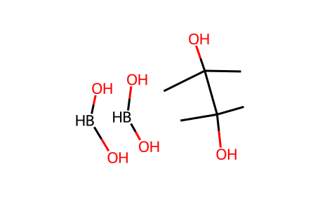 CC(C)(O)C(C)(C)O.OBO.OBO